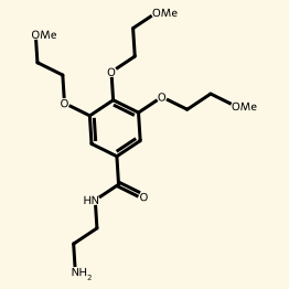 COCCOc1cc(C(=O)NCCN)cc(OCCOC)c1OCCOC